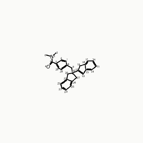 CN(C)C(=O)c1ccc(C[C@]2(C3=Cc4ccccc4C3)[CH]c3ccccc3C2)cc1